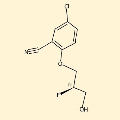 N#Cc1cc(Cl)ccc1OC[C@H](F)CO